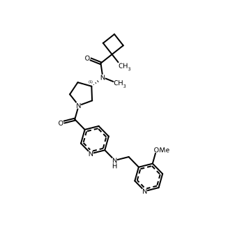 COc1ccncc1CNc1ccc(C(=O)N2CC[C@H](N(C)C(=O)C3(C)CCC3)C2)cn1